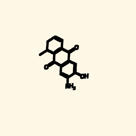 CC1CC=CC2=C1C(=O)c1cc(N)c(O)cc1C2=O